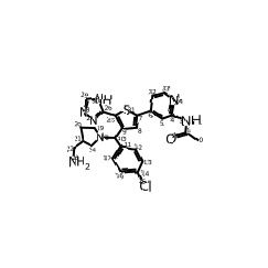 CC(=O)Nc1cc(-c2cc(C(c3ccc(Cl)cc3)N3CCC(CN)C3)c(-c3nnc[nH]3)s2)ccn1